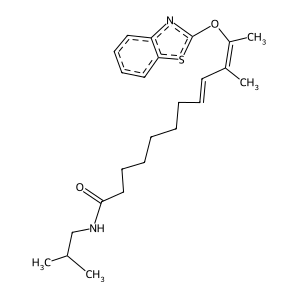 CC(C=CCCCCCCC(=O)NCC(C)C)=C(C)Oc1nc2ccccc2s1